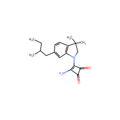 CCC(C)Cc1ccc2c(c1)N(c1c(N)c(=O)c1=O)CC2(C)C